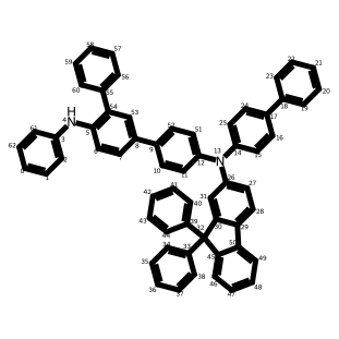 c1ccc(Nc2ccc(-c3ccc(N(c4ccc(-c5ccccc5)cc4)c4ccc5c(c4)C(c4ccccc4)(c4ccccc4)c4ccccc4-5)cc3)cc2-c2ccccc2)cc1